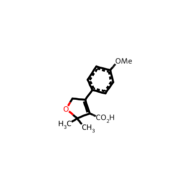 COc1ccc(C2=C(C(=O)O)C(C)(C)OC2)cc1